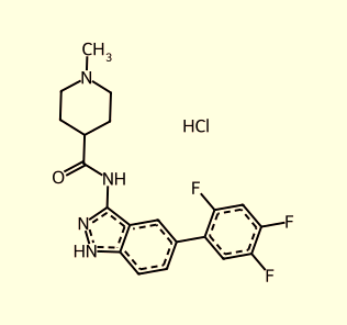 CN1CCC(C(=O)Nc2n[nH]c3ccc(-c4cc(F)c(F)cc4F)cc23)CC1.Cl